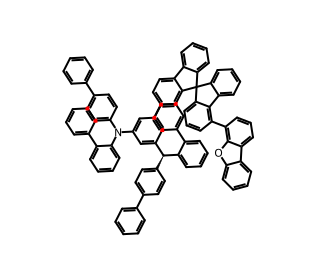 c1ccc(-c2ccc([C@@H](c3cc(-c4ccc5c(c4)C4(c6ccccc6-5)c5ccccc5-c5c(-c6cccc7c6oc6ccccc67)cccc54)cc(N(c4ccc(-c5ccccc5)cc4)c4ccccc4-c4ccccc4)c3)c3ccccc3-c3ccccc3)cc2)cc1